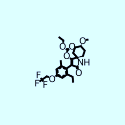 CCOC(=O)OC1=C(c2c(C)cc(OCC(F)(F)F)cc2CC)C(=O)N[C@]12CC[C@@H](OC)CC2